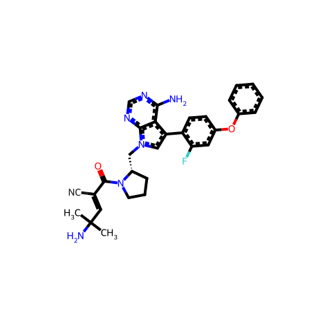 CC(C)(N)C=C(C#N)C(=O)N1CCC[C@H]1Cn1cc(-c2ccc(Oc3ccccc3)cc2F)c2c(N)ncnc21